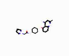 Cc1cc(N)c2c(O[C@H]3CC[C@H](NC(=O)Cn4cccc4)CC3)cccc2n1